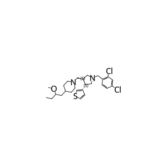 CCC(CC1CCN(C[C@H]2CN(Cc3ccc(Cl)cc3Cl)C[C@@H]2c2ccsc2)CC1)OC